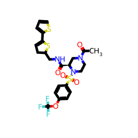 CC(=O)N1CCN(S(=O)(=O)c2ccc(OC(F)(F)F)cc2)[C@@H](C(=O)NCC2CC=C(c3cccs3)S2)C1